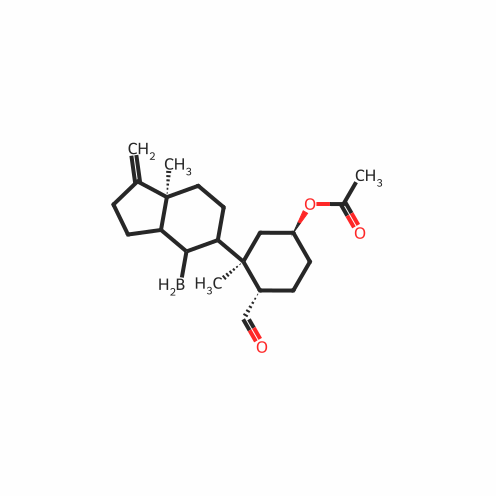 BC1C2CCC(=C)[C@@]2(C)CCC1[C@@]1(C)C[C@@H](OC(C)=O)CC[C@@H]1C=O